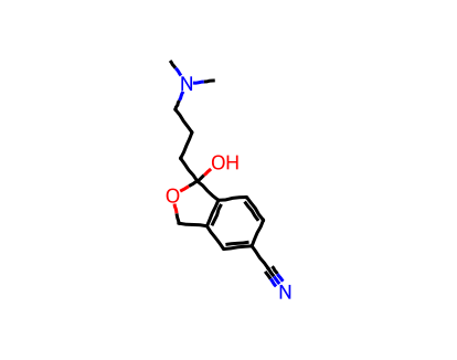 CN(C)CCCC1(O)OCc2cc(C#N)ccc21